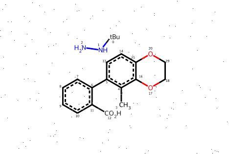 CC(C)(C)NN.Cc1c(-c2ccccc2C(=O)O)ccc2c1OCCO2